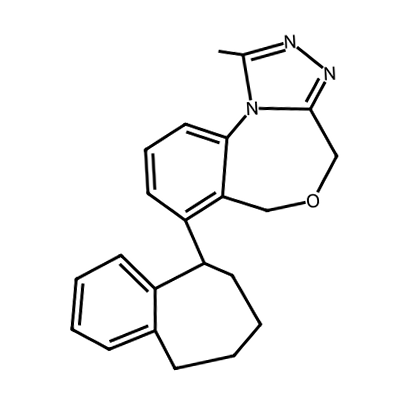 Cc1nnc2n1-c1cccc(C3CCCCc4ccccc43)c1COC2